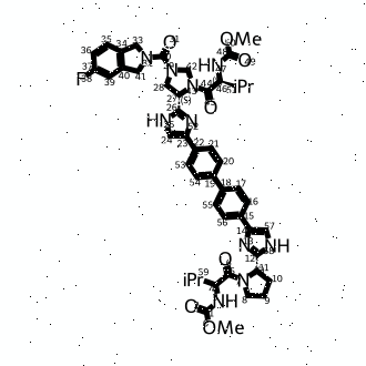 COC(=O)NC(C(=O)N1CCC[C@H]1c1nc(-c2ccc(-c3ccc(-c4c[nH]c([C@@H]5CN(C(=O)N6Cc7ccc(F)cc7C6)CN5C(=O)[C@@H](NC(=O)OC)C(C)C)n4)cc3)cc2)c[nH]1)C(C)C